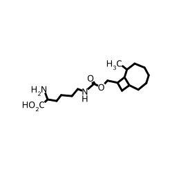 CC1CCCCCC2CC(COC(=O)NCCCCC(N)C(=O)O)C12